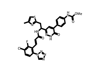 COC(=O)Nc1ccc(-c2cc(C(Cc3nc(C)cs3)NC(=O)C=Cc3c(-n4cnnn4)ccc(Cl)c3F)n[nH]c2=O)cc1